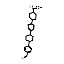 O=Cc1ccc(C2CCC(c3ccc(C4CCC(C(=O)O)CC4)cc3)CC2)cc1